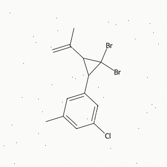 C=C(C)C1C(c2cc(C)cc(Cl)c2)C1(Br)Br